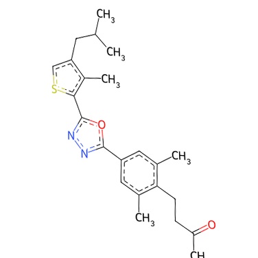 CC(=O)CCc1c(C)cc(-c2nnc(-c3scc(CC(C)C)c3C)o2)cc1C